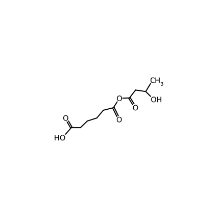 CC(O)CC(=O)OC(=O)CCCCC(=O)O